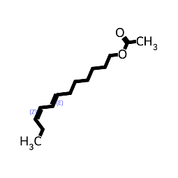 CC/C=C\C=C\CCCCCCOC(C)=O